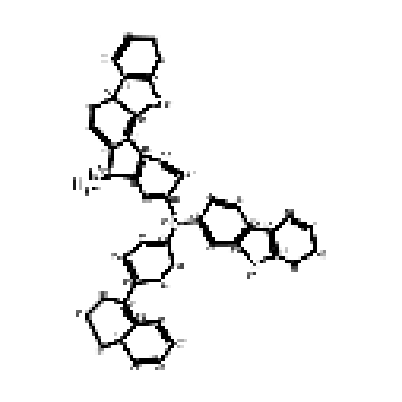 C[SiH]1C2=CCC3C4=C(CCC=C4)SC3=C2c2ccc(N(C3=CC=C(C4=C5C=CC=CC5CCC4)CC3)c3ccc4c5c(sc4c3)CCC=C5)cc21